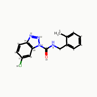 Cc1ccccc1CNC(=O)n1nnc2ccc(Cl)cc21